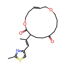 CC(=Cc1csc(C)n1)C1CCC(=O)CCCCOC/C=C/CCOC1=O